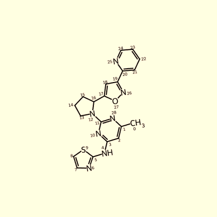 Cc1cc(Nc2nccs2)nc(N2CCCC2c2cc(-c3ccccn3)no2)n1